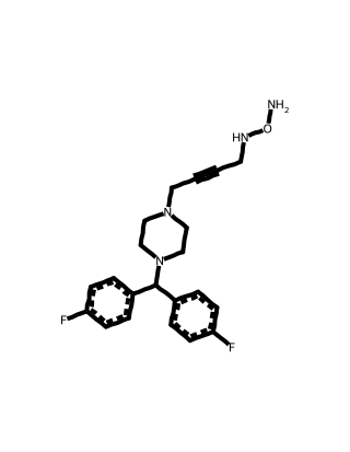 NONCC#CCN1CCN(C(c2ccc(F)cc2)c2ccc(F)cc2)CC1